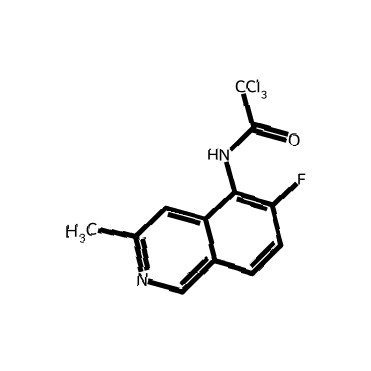 Cc1cc2c(NC(=O)C(Cl)(Cl)Cl)c(F)ccc2cn1